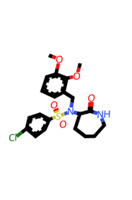 COc1cccc(CN(C2CCCCNC2=O)S(=O)(=O)c2ccc(Cl)cc2)c1OC